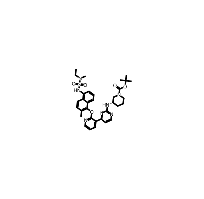 CCN(C)S(=O)(=O)Nc1cccc2c(Oc3ncccc3-c3ccnc(N[C@H]4CCCN(C(=O)OC(C)(C)C)C4)n3)c(C)ccc12